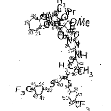 COCC1(C)[C@@H](COP(=O)(N[C@@H](C)C(=O)OC(C)C)Oc2ccccc2)O[C@@H](n2ccc(NC(=O)CC(C)(C)CC[C@H](CCSCc3ccc(C(F)(F)F)cc3)SCc3ccc(C(F)(F)F)cc3)nc2=O)C1(F)F